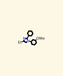 CCc1cn(-c2cccc(OC)c2)c(-c2ccccc2)n1